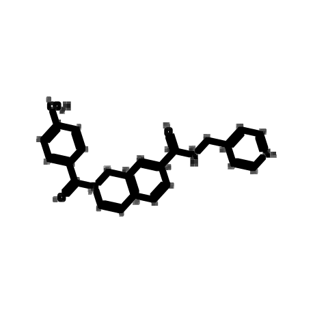 O=C(O)c1ccc(C(=O)N2C=Cc3ccc(C(=O)NCc4ccncc4)cc3C2)cc1